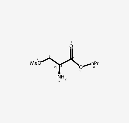 CCCOC(=O)[C@@H](N)COC